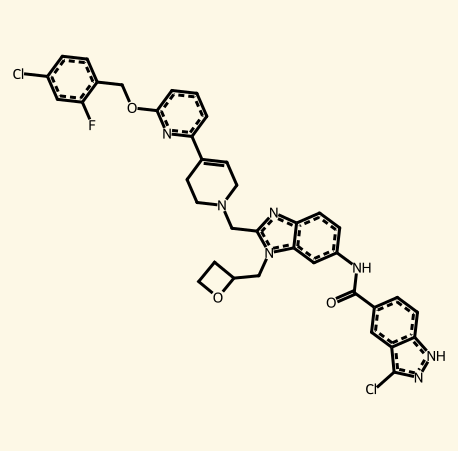 O=C(Nc1ccc2nc(CN3CC=C(c4cccc(OCc5ccc(Cl)cc5F)n4)CC3)n(CC3CCO3)c2c1)c1ccc2[nH]nc(Cl)c2c1